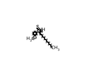 CCCCCCCCCCCCC1=NNC(C=S)N1c1cccc(OC)c1